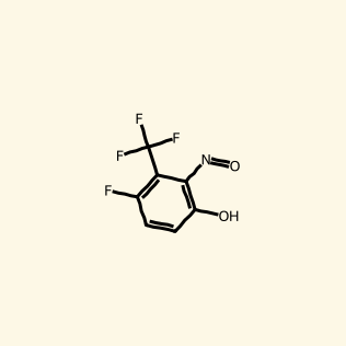 O=Nc1c(O)ccc(F)c1C(F)(F)F